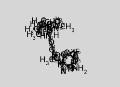 CC[C@H](NC(=O)[C@H]1C[C@@H](NCCOCCOCCC(=O)N(C)CCn2nc(C#N)c3c2CN(C)C(=O)c2ccc(F)cc2[C@H]2CCCN2c2cc-3cnc2N)CN1C(=O)C(NC(=O)[C@@H](C)NC)C(C)(C)C)c1ccccc1